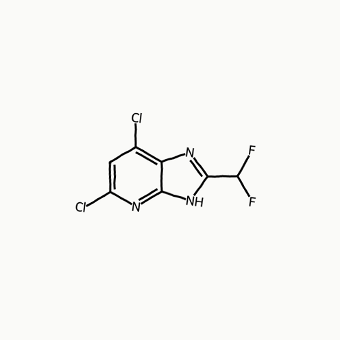 FC(F)c1nc2c(Cl)cc(Cl)nc2[nH]1